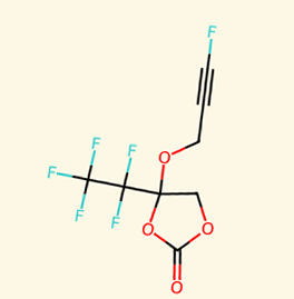 O=C1OCC(OCC#CF)(C(F)(F)C(F)(F)F)O1